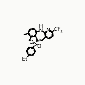 CCc1ccc(S(=O)(=O)N2Cc3ccc(C(F)(F)F)nc3Nc3ccc(C)c(C)c32)cc1